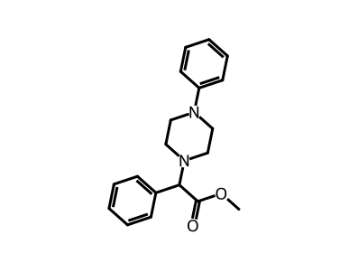 COC(=O)C(c1ccccc1)N1CCN(c2ccccc2)CC1